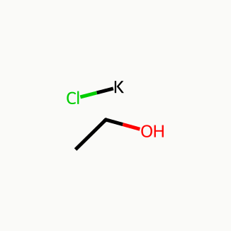 CCO.[Cl][K]